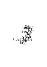 CCC(C)(C)NC(=O)c1c[nH]c2ncc(C(=N)c3ccc(F)cc3NC)nc12